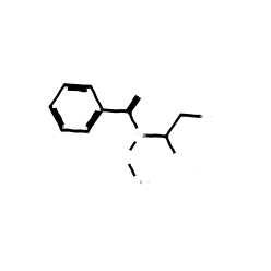 CCCCON(C(=O)c1ccccc1)C(CO)C(=O)O